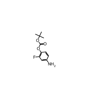 CC(C)(C)OC(=O)Oc1ccc(N)cc1F